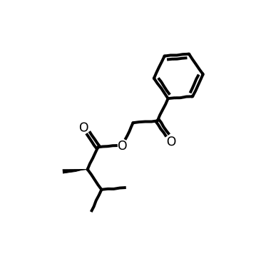 CC(C)[C@@H](C)C(=O)OCC(=O)c1ccccc1